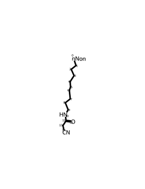 CCCCCCCCCCCCCCCCCCNC(=O)CC#N